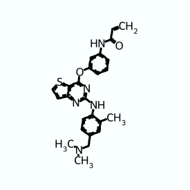 C=CC(=O)Nc1cccc(Oc2nc(Nc3ccc(CN(C)C)cc3C)nc3ccsc23)c1